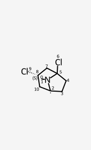 CN1[C]2CCC1(Cl)C[C@@H](Cl)C2